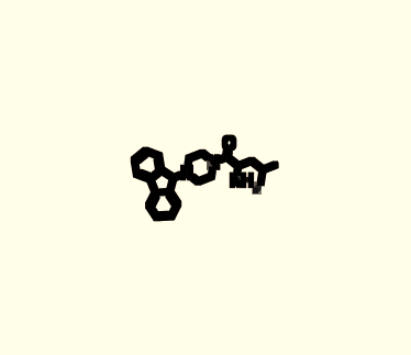 CC(C)CC(N)C(=O)N1CCN(C2c3ccccc3-c3ccccc32)CC1